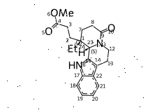 CC[C@@]1(CCC(=O)OC)CCC(=O)N2CCc3c([nH]c4ccccc34)[C@@H]21